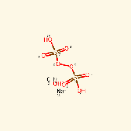 C.O=S(=O)(O)OOS(=O)(=O)O.[Na+].[OH-]